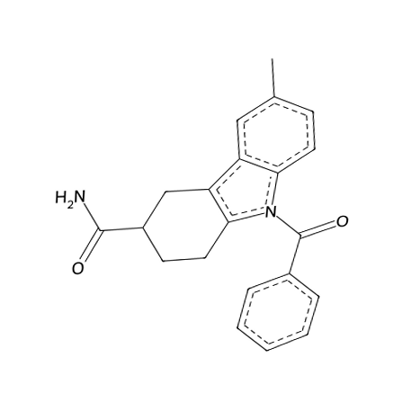 Cc1ccc2c(c1)c1c(n2C(=O)c2ccccc2)CCC(C(N)=O)C1